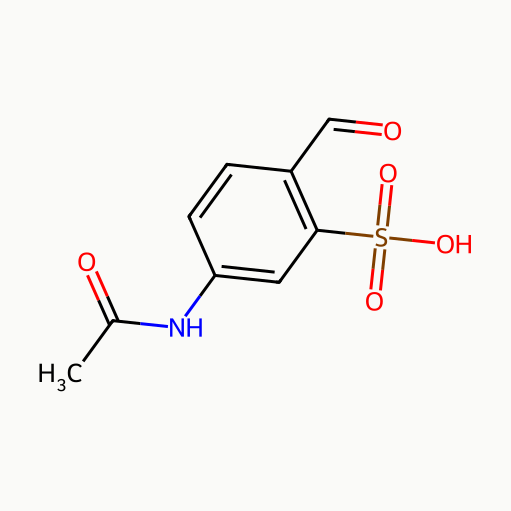 CC(=O)Nc1ccc(C=O)c(S(=O)(=O)O)c1